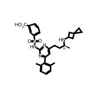 Cc1cccc(C)c1-c1cc(CC[C@H](C)NC2CC3(CC3)C2)nc(NS(=O)(=O)c2cccc(C(=O)O)c2)n1